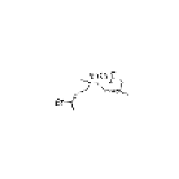 CCOC(=O)CC(C)=C=CCC(C)CC=C(C)CC